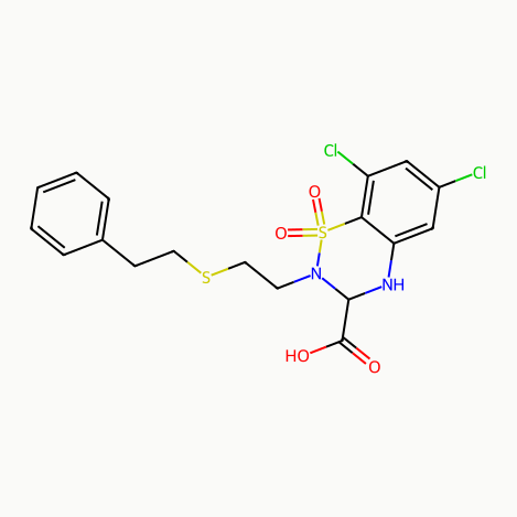 O=C(O)C1Nc2cc(Cl)cc(Cl)c2S(=O)(=O)N1CCSCCc1ccccc1